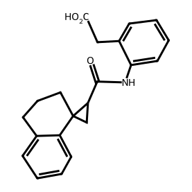 O=C(O)Cc1ccccc1NC(=O)C1CC12CCCc1ccccc12